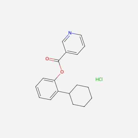 Cl.O=C(Oc1ccccc1C1CCCCC1)c1cccnc1